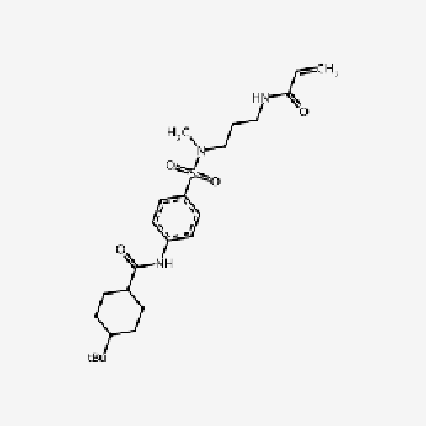 C=CC(=O)NCCCN(C)S(=O)(=O)c1ccc(NC(=O)C2CCC(C(C)(C)C)CC2)cc1